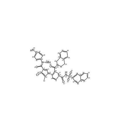 CCCCN(C(=O)c1nn(-c2ccc(C(=O)NS(=O)(=O)c3ccc4ccccc4c3)cc2C(=O)N2CCc3ccccc3C2)c(C)c1Cl)c1ccc(CCC)cc1